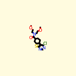 COCCN(CCOC)C(=O)C1CCc2c(sc3ncnc(Cl)c23)C1